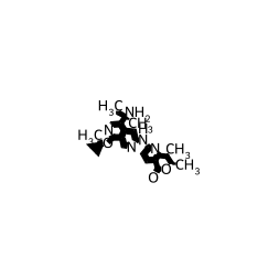 CC[C@](C)(N)c1cnc(OC2(C)CC2)c2cnc(Nc3ccc4c(n3)[C@@H](C)[C@@H](C)OC4=O)cc12